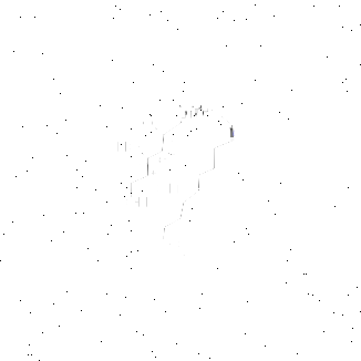 CCCCCCCC/C=C\CCCCCCCC(=O)O.CNC[C@H](O)[C@@H](O)[C@H](O)[C@H](O)CO